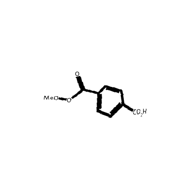 COOC(=O)c1ccc(C(=O)O)cc1